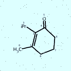 CC1=C(C(C)C)C(=O)CCC1